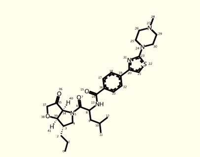 CCC[C@H]1CN(C(=O)C(CC(C)C)NC(=O)c2ccc(-c3csc(N4CCN(C)CC4)n3)cc2)[C@@H]2C(=O)CO[C@H]12